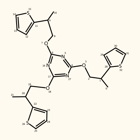 CC(COc1nc(OCC(C)c2cccs2)nc(OCC(C)c2cccs2)n1)c1cccs1